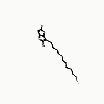 CCCCCCCCCCCCc1c(Br)sc2cc(Br)sc12